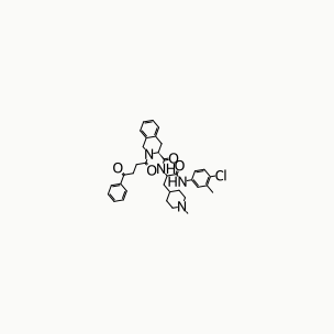 Cc1cc(NC(=O)C(CC2CCN(C)CC2)NC(=O)[C@@H]2Cc3ccccc3CN2C(=O)CCC(=O)c2ccccc2)ccc1Cl